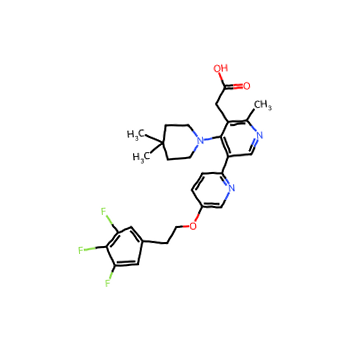 Cc1ncc(-c2ccc(OCCc3cc(F)c(F)c(F)c3)cn2)c(N2CCC(C)(C)CC2)c1CC(=O)O